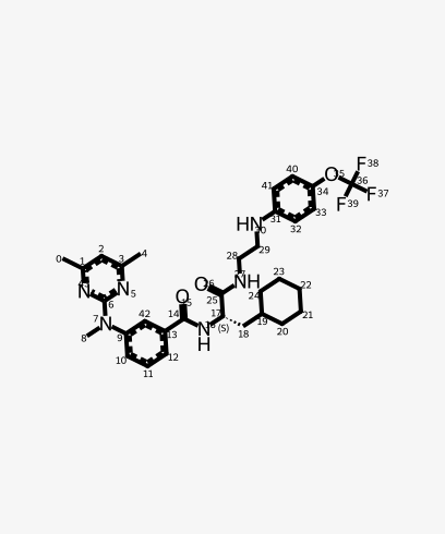 Cc1cc(C)nc(N(C)c2cccc(C(=O)N[C@@H](CC3CCCCC3)C(=O)NCCNc3ccc(OC(F)(F)F)cc3)c2)n1